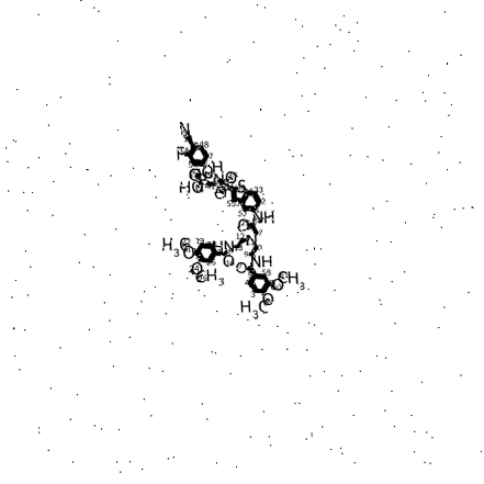 COc1ccc(C(=O)NCCN(CCNC(=O)c2ccc(OC)c(OC)c2)CC(=O)Nc2ccc3sc(S(=O)(=O)NCP(=O)(O)Oc4ccc(C#N)c(F)c4)cc3c2)cc1OC